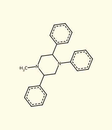 [CH2]N1CC(c2ccccc2)N(c2ccccc2)CC1c1ccccc1